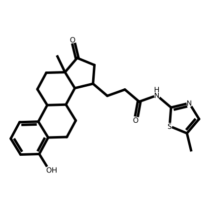 Cc1cnc(NC(=O)CCC2CC(=O)C3(C)CCC4c5cccc(O)c5CCC4C23)s1